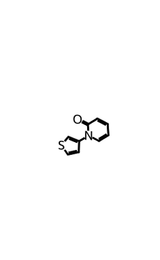 O=c1ccccn1-c1ccsc1